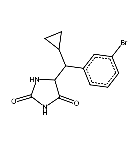 O=C1NC(=O)C(C(c2cccc(Br)c2)C2CC2)N1